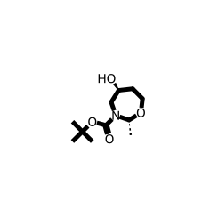 C[C@H]1OCC[C@H](O)CN1C(=O)OC(C)(C)C